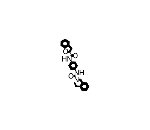 O=C(Nc1ccc(NC(=O)N2CCc3ccccc3C2)cc1)[C@H]1Cc2ccccc2O1